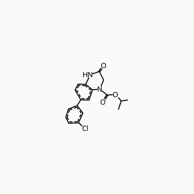 CC(C)OC(=O)N1CC(=O)Nc2ccc(-c3cccc(Cl)c3)cc21